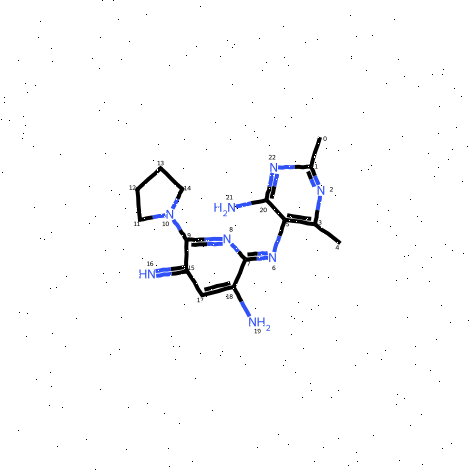 Cc1nc(C)c(N=C2N=C(N3CCCC3)C(=N)C=C2N)c(N)n1